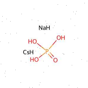 O=P(O)(O)O.[CsH].[NaH]